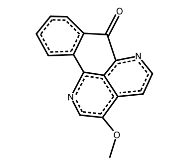 COc1cnc2c3c(nccc13)C(=O)c1ccccc1-2